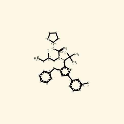 CC(C)(C)[C@H](c1nc(-c2cccc(Br)c2)cn1Cc1ccccc1)N(C[C@H](F)CN)C(=O)O[C@H]1CCCO1